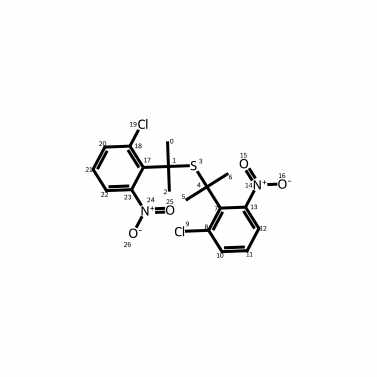 CC(C)(SC(C)(C)c1c(Cl)cccc1[N+](=O)[O-])c1c(Cl)cccc1[N+](=O)[O-]